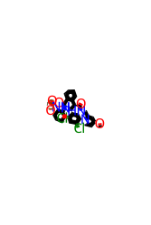 COc1ccnc(CNC(=O)[C@@H]2c3ccccc3C(=O)N(C3CCCC[C@@H]3NS(C)(=O)=O)[C@H]2c2ccc(Cl)cc2Cl)c1